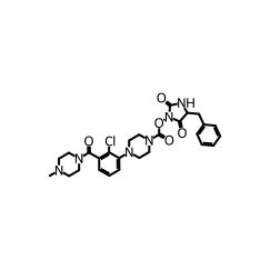 CN1CCN(C(=O)c2cccc(N3CCN(C(=O)ON4C(=O)NC(Cc5ccccc5)C4=O)CC3)c2Cl)CC1